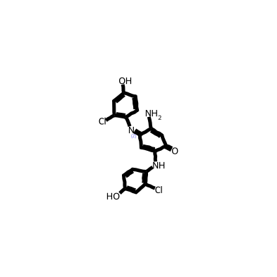 NC1=CC(=O)C(Nc2ccc(O)cc2Cl)=C/C1=N/c1ccc(O)cc1Cl